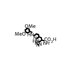 CCC[C@H](C(=O)O)C(Cc1ccc(NCc2cc(OC)cc(OC)c2)nc1)c1nnn[nH]1